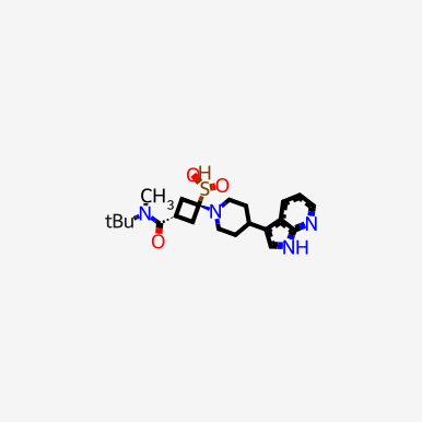 CN(C(=O)[C@H]1C[C@@](N2CCC(c3c[nH]c4ncccc34)CC2)([SH](=O)=O)C1)C(C)(C)C